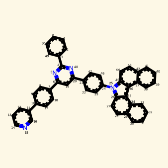 c1ccc(-c2nc(-c3ccc(-c4cccnc4)cc3)cc(-c3ccc(-n4c5ccc6ccccc6c5c5c6ccccc6ccc54)cc3)n2)cc1